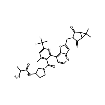 Cc1cc(C(F)(F)F)nc(-c2ccnc3cc(CN4C(=O)C5C(C4=O)C5(C)C)sc23)c1C(=O)N1CCC(NC(=O)C(C)N)C1